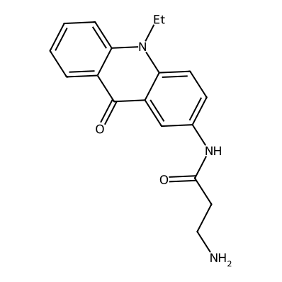 CCn1c2ccccc2c(=O)c2cc(NC(=O)CCN)ccc21